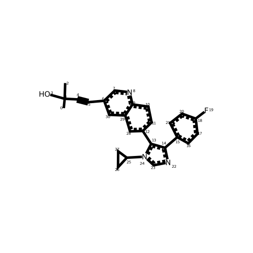 CC(C)(O)C#Cc1cnc2ccc(-c3c(-c4ccc(F)cc4)ncn3C3CC3)cc2c1